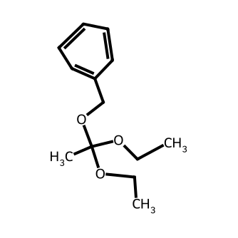 CCOC(C)(OCC)OCc1ccccc1